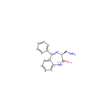 NC[C@@H]1N=C(c2ccccc2)c2ccccc2NC1=O